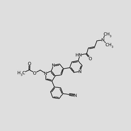 CC(=O)OCn1cc(-c2cccc(C#N)c2)c2cc(-c3cncc(NC(=O)C=CCN(C)C)c3)cnc21